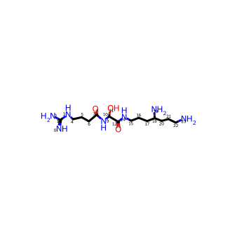 N=C(N)NCCCC(=O)NC(O)C(=O)NCCCC(N)CCCN